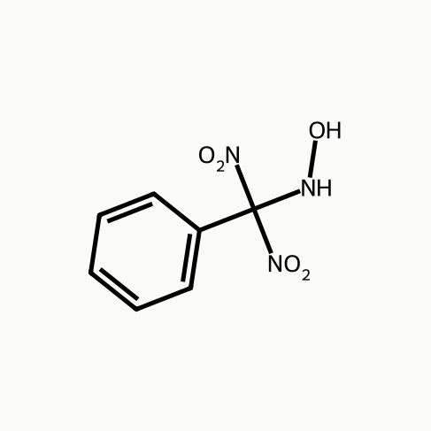 O=[N+]([O-])C(NO)(c1ccccc1)[N+](=O)[O-]